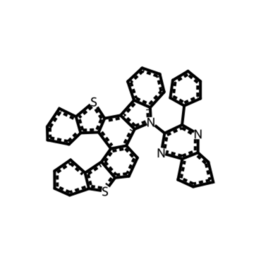 c1ccc(-c2nc3ccccc3nc2-n2c3ccccc3c3c4sc5ccccc5c4c4c(ccc5sc6ccccc6c54)c32)cc1